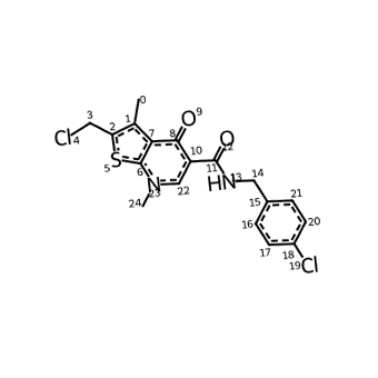 Cc1c(CCl)sc2c1c(=O)c(C(=O)NCc1ccc(Cl)cc1)cn2C